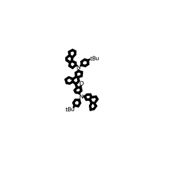 CC(C)(C)c1ccc(N(c2ccc3c(c2)oc2c4ccc(N(c5ccc(C(C)(C)C)cc5)c5ccc6ccc7ccccc7c6c5)cc4c4ccccc4c32)c2ccc3ccc4ccccc4c3c2)cc1